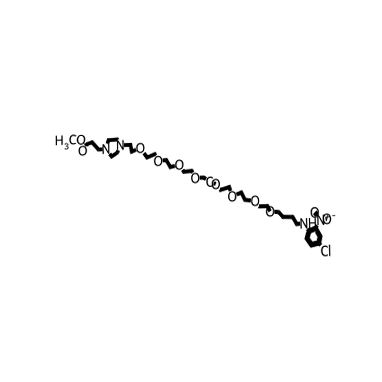 COC(=O)CCN1CCN(CCOCCOCCOCCOCCOCCOCCOCCOCCCCNc2ccc(Cl)cc2[N+](=O)[O-])CC1